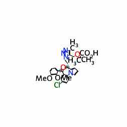 COc1cccc([C@H]2O[C@H](CCn3nnc(C)c3COC(C)(C)C(=O)O)c3cccn3-c3ccc(Cl)cc32)c1OC